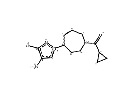 Nc1cn(C2CCCN(C(=O)C3CC3)CC2)nc1Cl